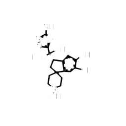 Cc1cc2c(cc1Cl)C1(CCN(C)CC1)C[C@@H]2C(C)(C)c1nnc(N)o1